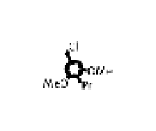 COc1cc(CCl)cc(OC)c1C(C)C